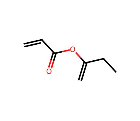 C=CC(=O)OC(=C)CC